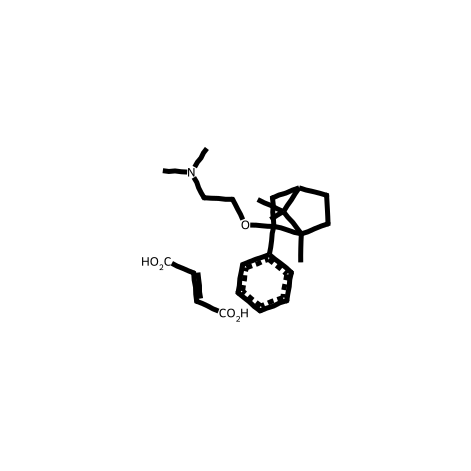 CN(C)CCOC1(c2ccccc2)CC2CCC1(C)C2(C)C.O=C(O)/C=C/C(=O)O